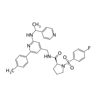 Cc1ccc(-c2cc(CNC(=O)[C@@H]3CCCN3S(=O)(=O)c3ccc(F)cc3)cc(NC(C)c3ccncc3)n2)cc1